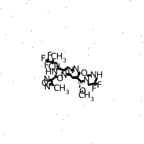 COC[C@H](c1cnn2cc([C@H](CC(C)(C)C(F)(F)F)NC(=O)c3nonc3C)nc2c1)N1CC(F)(F)CNC1=O